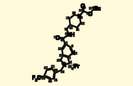 CC(C)[C@H]1c2ncc(C(=O)NCC3CCN(C(=O)OC(C)(C)C)CC3)cc2CN1Cc1ccc(C(F)(F)F)cc1